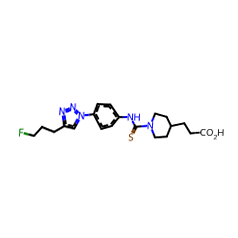 O=C(O)CCC1CCN(C(=S)Nc2ccc(-n3cc(CCCF)nn3)cc2)CC1